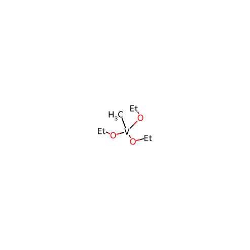 CC[O][V]([CH3])([O]CC)[O]CC